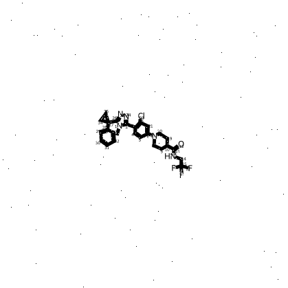 Cn1c(-c2ccc(N3CCC(C(=O)NCC(F)(F)F)CC3)cc2Cl)nnc1C1(c2ccccc2)CC1